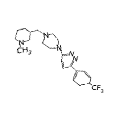 CN1CCCC(CN2CCN(c3ccc(C4=CCC(C(F)(F)F)C=C4)nn3)CC2)C1